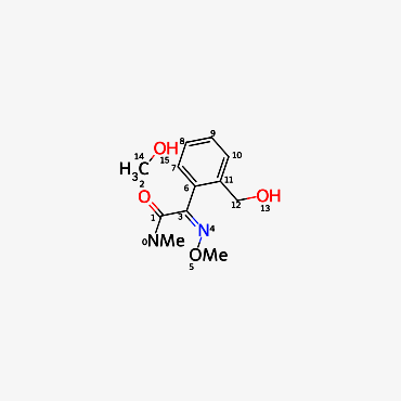 CNC(=O)C(=NOC)c1ccccc1CO.CO